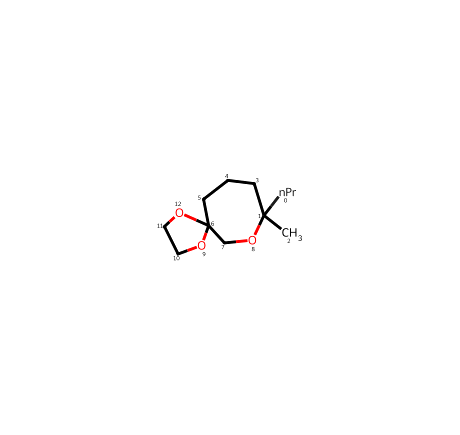 CCCC1(C)CCCC2(CO1)OCCO2